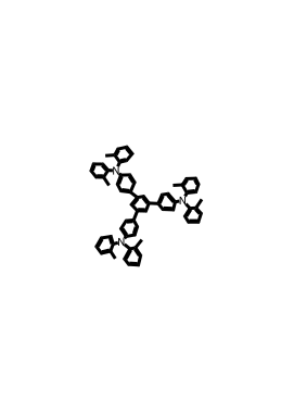 Cc1ccccc1N(c1ccc(-c2cc(-c3ccc(N(c4ccccc4C)c4ccccc4C)cc3)cc(-c3ccc(N(c4ccccc4C)c4ccccc4C)cc3)c2)cc1)c1ccccc1C